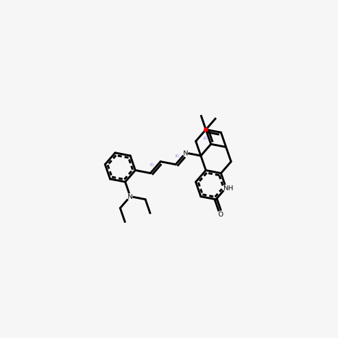 C/C=C1\C2C=C(C)CC1(/N=C/C=C/c1ccccc1N(CC)CC)c1ccc(=O)[nH]c1C2